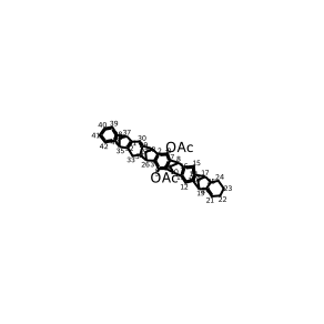 CC(=O)Oc1c2c(c(OC(C)=O)c3c1C1CC3c3cc4c(cc31)C1CC4C3=CCCCC31)C1CC2C2=CC3=C(CC21)C1CC3c2ccccc21